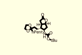 CCCCCC1(CC[C@@H]2[C@H]3CC(=O)O[C@H]3C[C@H]2NC(=O)OC(C)(C)C)OCCO1